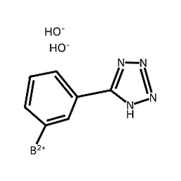 [B+2]c1cccc(-c2nnn[nH]2)c1.[OH-].[OH-]